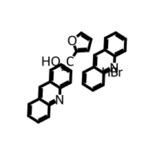 Br.O=C(O)c1ccco1.c1ccc2nc3ccccc3cc2c1.c1ccc2nc3ccccc3cc2c1